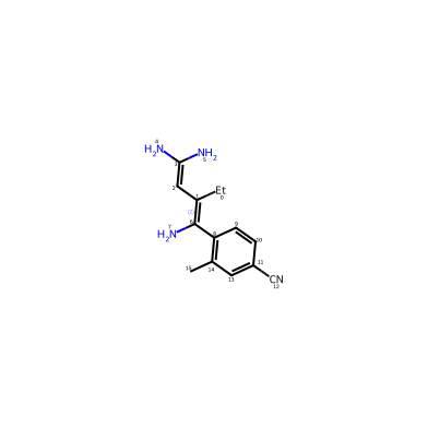 CC/C(C=C(N)N)=C(/N)c1ccc(C#N)cc1C